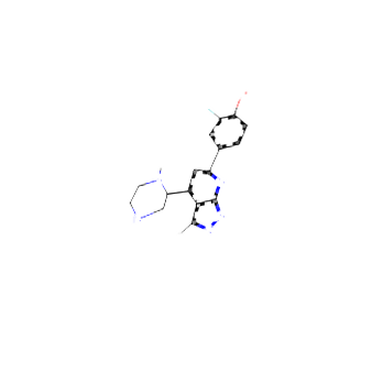 CCc1n[nH]c2nc(-c3ccc(O)c(F)c3)cc(C3CNCCN3C=O)c12